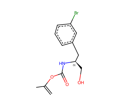 C=C(C)OC(=O)N[C@H](CO)Cc1cccc(Br)c1